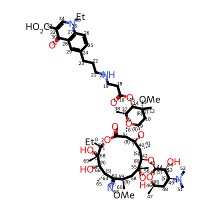 CC[C@H]1OC(=O)[C@H](C)[C@@H](O[C@H]2C[C@@](C)(OC)[C@@H](OC(=O)CCNCCCc3ccc4c(c3)c(=O)c(C(=O)O)cn4CC)[C@H](C)O2)[C@H](C)[C@@H](O[C@@H]2O[C@H](C)C[C@H](N(C)C)[C@H]2O)[C@](C)(O)C[C@@H](C)/C(=N\OC)[C@H](C)[C@@H](O)[C@]1(C)O